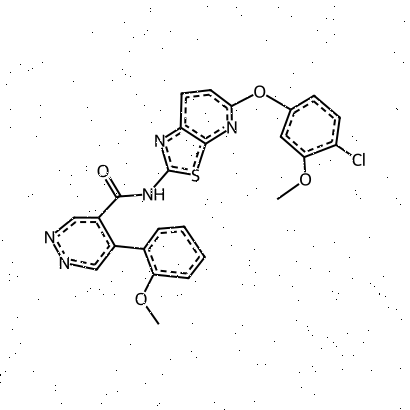 COc1cc(Oc2ccc3nc(NC(=O)c4cnncc4-c4ccccc4OC)sc3n2)ccc1Cl